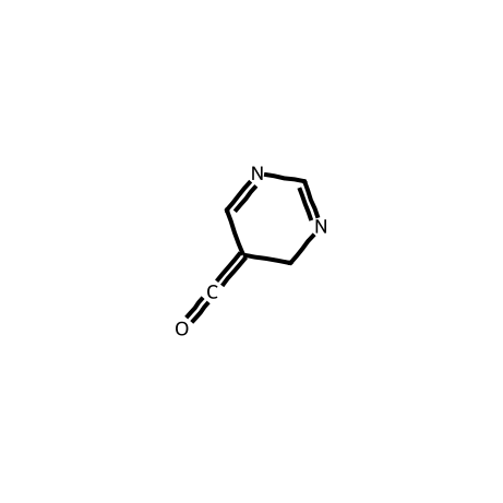 O=C=C1C=NC=NC1